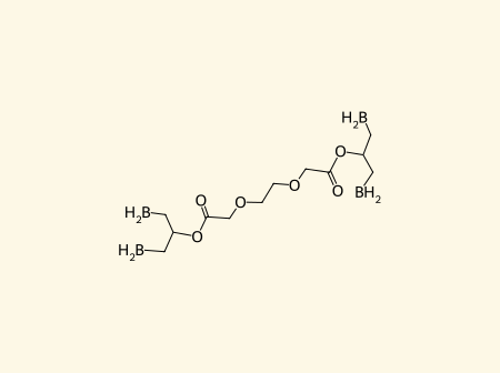 BCC(CB)OC(=O)COCCOCC(=O)OC(CB)CB